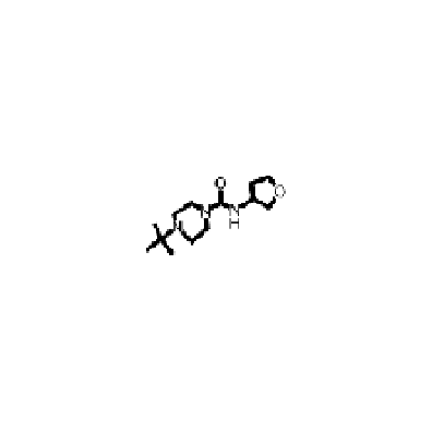 CC(C)(C)N1CCN(C(=O)NC2CCOC2)CC1